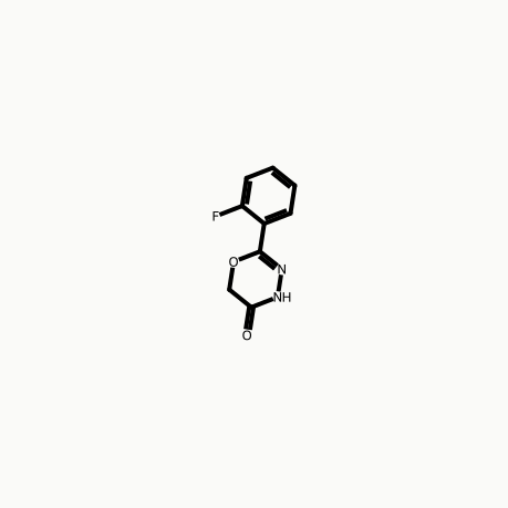 O=C1COC(c2ccccc2F)=NN1